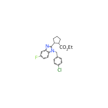 CCOC(=O)C1CCCC1c1nc2cc(F)ccc2n1Cc1ccc(Cl)cc1